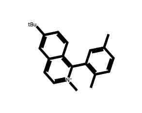 Cc1ccc(C)c(-c2c3ccc(C(C)(C)C)cc3cc[n+]2C)c1